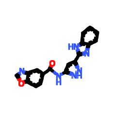 O=C(Nc1cc(-c2nc3ccccc3[nH]2)n[nH]1)c1ccc2ocnc2c1